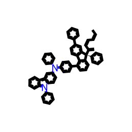 C=C(/C=C\C=C/C)[C@]1(c2ccccc2)c2cc(-c3ccccc3)ccc2-c2c(-c3ccc(N(c4ccccc4)c4ccc5c(c4)c4ccccc4n5-c4ccccc4)cc3)cccc21